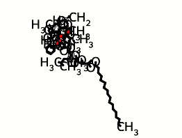 C=C[C@H]1O[C@H]2C[C@@]3(C)OC[C@@]3(OC(C)=O)[C@H]3[C@H](OC(=O)c4ccccc4)[C@]4(C(C)(C)O)C[C@H](OC(=O)[C@H](OC(=O)OCC5COC(CCCCCCCCCCCCCCCCC)O5)[C@@H](C)CC(C)C)C(C)=C4[C@H](C)[C@H](O1)[C@]23C